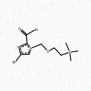 CC(C)C(=O)c1nc(Br)cn1COCC[Si](C)(C)C